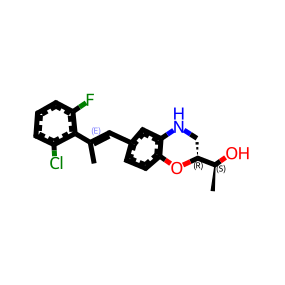 C/C(=C\c1ccc2c(c1)NC[C@H]([C@H](C)O)O2)c1c(F)cccc1Cl